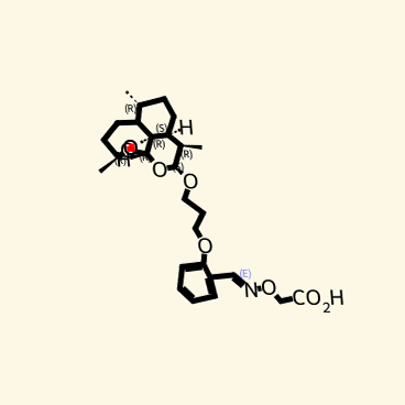 C[C@H]1[C@@H](OCCCOc2ccccc2/C=N/OCC(=O)O)O[C@@H]2O[C@@]3(C)CCC4[C@H](C)CC[C@@H]1[C@]42OO3